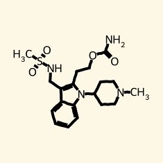 CN1CCC(n2c(CCOC(N)=O)c(CNS(C)(=O)=O)c3ccccc32)CC1